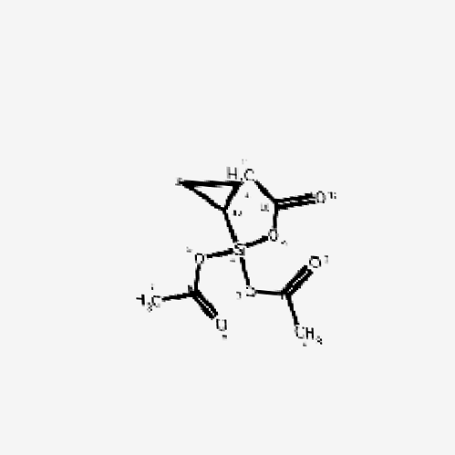 CC(=O)O[Si](OC(C)=O)(OC(C)=O)C1CC1